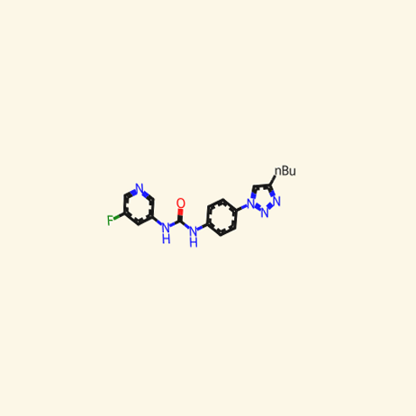 CCCCc1cn(-c2ccc(NC(=O)Nc3cncc(F)c3)cc2)nn1